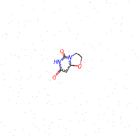 O=c1cc2n(c(=O)[nH]1)CCO2